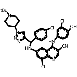 CC(C)(C)N1CCC(n2cc(C(Nc3cc(Cl)c4ncc(C#N)c(Nc5ccc(O)c(Cl)c5)c4c3)c3ccc(Cl)cc3)nn2)CC1